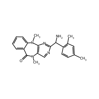 Cc1ccc(C(N)c2ncc3c(n2)N(C)c2ccccc2C(=O)N3C)c(C)c1